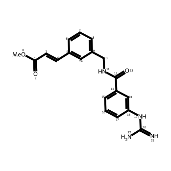 COC(=O)C=Cc1cccc(CNC(=O)c2cccc(NC(=N)N)c2)c1